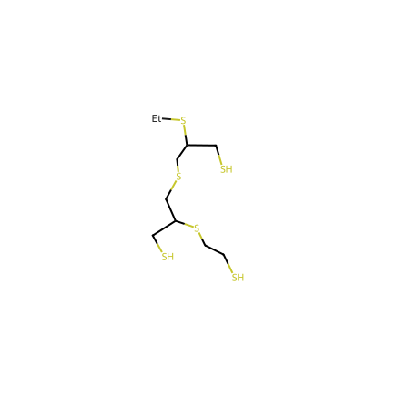 CCSC(CS)CSCC(CS)SCCS